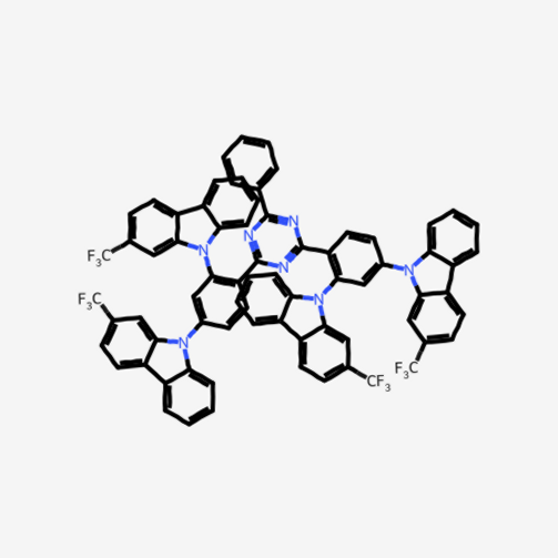 FC(F)(F)c1ccc2c3ccccc3n(-c3ccc(-c4nc(-c5ccccc5)nc(-c5ccc(-n6c7ccccc7c7ccc(C(F)(F)F)cc76)cc5-n5c6ccccc6c6ccc(C(F)(F)F)cc65)n4)c(-n4c5ccccc5c5ccc(C(F)(F)F)cc54)c3)c2c1